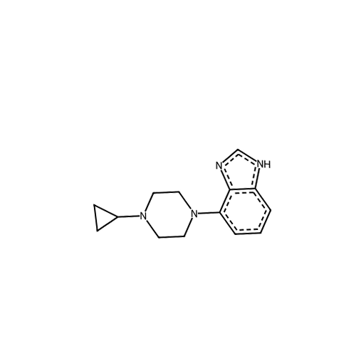 c1cc(N2CCN(C3CC3)CC2)c2nc[nH]c2c1